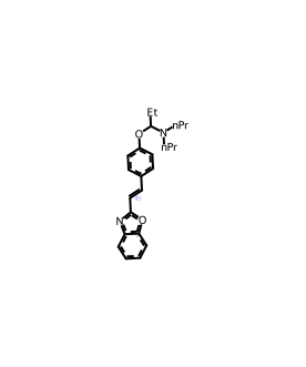 CCCN(CCC)C(CC)Oc1ccc(/C=C/c2nc3ccccc3o2)cc1